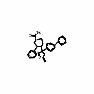 C=CCC(C(=O)O)(c1ccc(-c2ccccc2)cc1)C1CCN(C(N)=O)CC1c1ccccc1